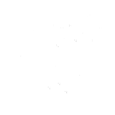 COc1ccccc1[C@H](O)Cn1c(=O)n(C(C)(C)C(=O)O)c(=O)c2c(C)c(-n3nccn3)sc21